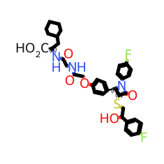 O=C(COc1ccc([C@@H]2[C@@H](SCC(O)c3ccc(F)cc3)C(=O)N2c2ccc(F)cc2)cc1)NCC(=O)N[C@H](CC1CCCCC1)C(=O)O